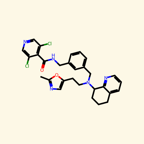 Cc1ncc(CCN(Cc2cccc(CNC(=O)c3c(Cl)cncc3Cl)c2)C2CCCc3cccnc32)o1